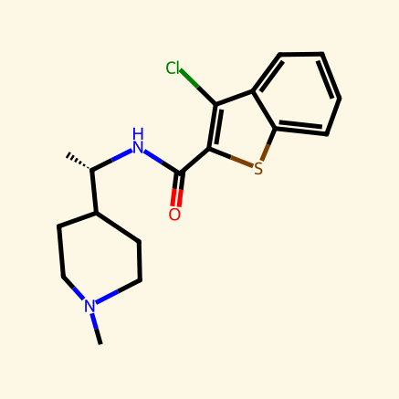 C[C@H](NC(=O)c1sc2ccccc2c1Cl)C1CCN(C)CC1